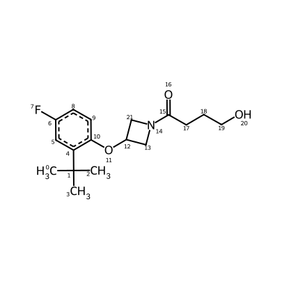 CC(C)(C)c1cc(F)ccc1OC1CN(C(=O)CCCO)C1